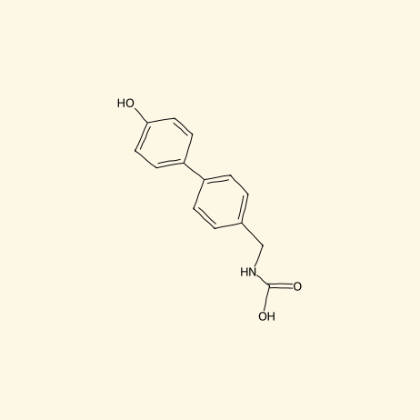 O=C(O)NCc1ccc(-c2ccc(O)cc2)cc1